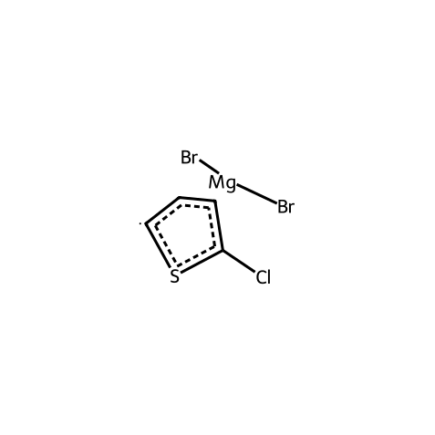 Clc1cc[c]s1.[Br][Mg][Br]